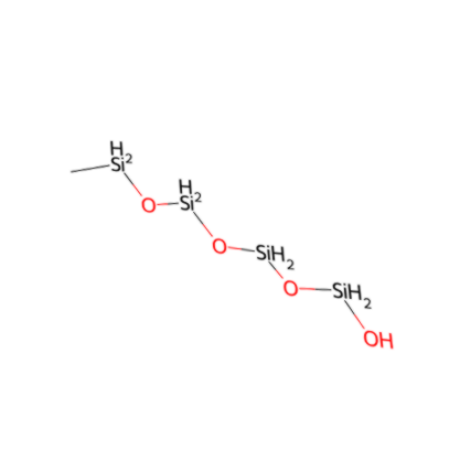 C[SiH2]O[SiH2]O[SiH2]O[SiH2]O